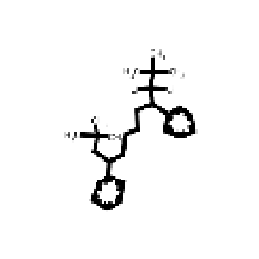 [Li][C]([Li])(C(CCCCC(CC(C)(C)C)c1ccccc1)c1ccccc1)C(C)(C)C